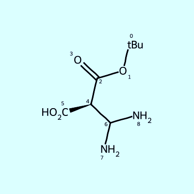 CC(C)(C)OC(=O)[C@H](C(=O)O)C(N)N